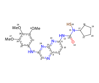 COc1cc(Nc2cnc3ccc(NC(=O)N(S)C4CCCC4)nc3n2)cc(OC)c1OC